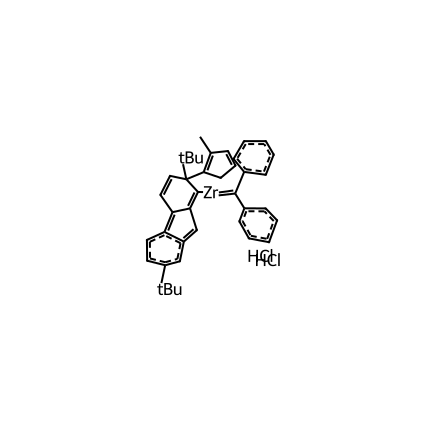 CC1=C(C2(C(C)(C)C)C=CC3=c4ccc(C(C)(C)C)cc4=CC3=[C]2[Zr]=[C](c2ccccc2)c2ccccc2)CC=C1.Cl.Cl